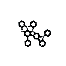 c1ccc(-c2cc3c4c5c2c2cc6c7ccccc7n(-c7ccccc7)c6cc2n5-c2ccccc2B4c2ccccc2O3)cc1